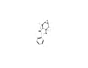 Cc1ccc(F)c(N2C(=O)[C@@H]3[C@@H]4CC[C@@H]([C@H]5C[C@H]54)[C@@H]3C2=O)c1